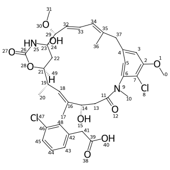 COc1cc2cc(c1Cl)N(C)C(=O)C[C@H](O)/C(C)=C/[C@H](C)[C@@H]1C[C@@](O)(NC(=O)O1)[C@H](OC)/C=C/C=C(\C)C2.O=C(O)Cc1cccc(Cl)c1